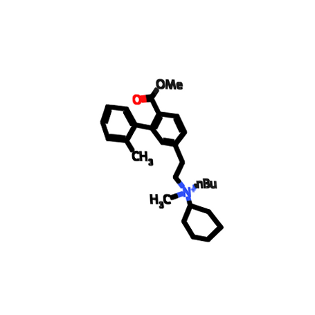 CCCC[N+](C)(CCc1ccc(C(=O)OC)c(-c2ccccc2C)c1)C1CCCCC1